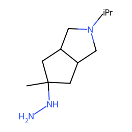 CC(C)N1CC2CC(C)(NN)CC2C1